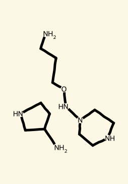 NC1CCNC1.NCCCONN1CCNCC1